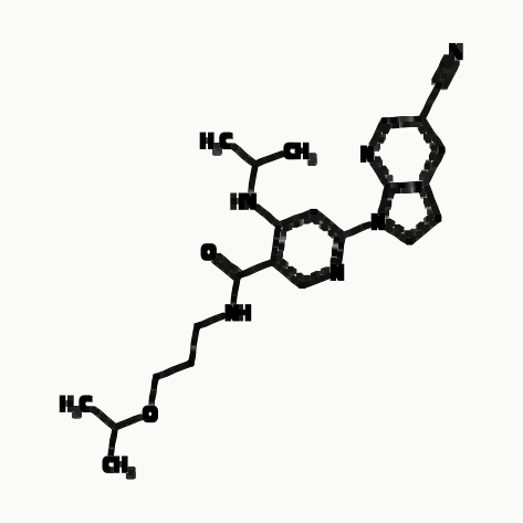 CC(C)Nc1cc(-n2ccc3cc(C#N)cnc32)ncc1C(=O)NCCCOC(C)C